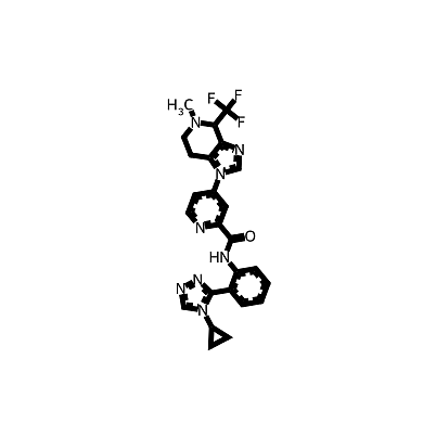 CN1CCc2c(ncn2-c2ccnc(C(=O)Nc3ccccc3-c3nncn3C3CC3)c2)C1C(F)(F)F